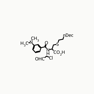 CCCCCCCCCCCCSCC(NC(=O)c1cccc(N(C)C)c1)C(=O)O.O=CCCl